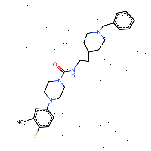 N#Cc1cc(N2CCN(C(=O)NCCC3CCN(Cc4ccccc4)CC3)CC2)ccc1F